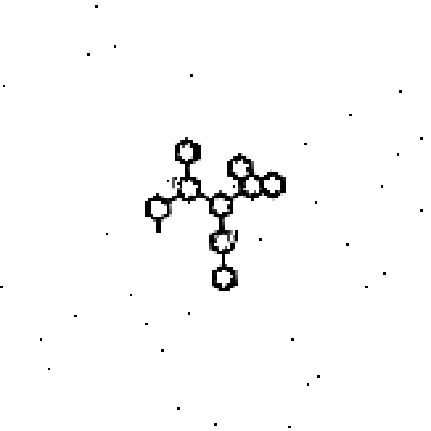 CC1C=CC=C(c2cc(-c3cc(-c4ccc(-c5ccccc5)cn4)cc(-c4cc5ccccc5c5ccccc45)c3)cc(-c3c#cccc3)n2)C1